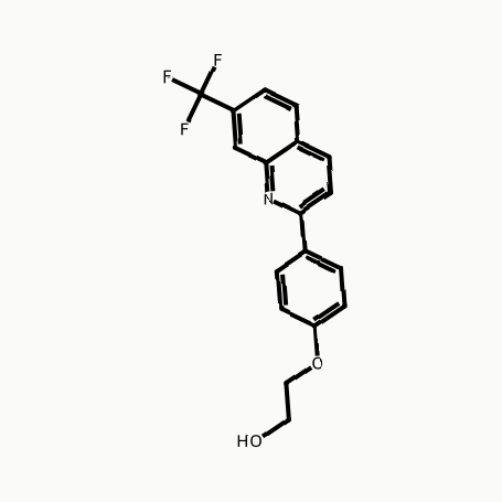 OCCOc1ccc(-c2ccc3ccc(C(F)(F)F)cc3n2)cc1